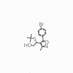 Cc1noc(-c2ccc(Br)cc2)c1C(CO)SC(C)(C)C